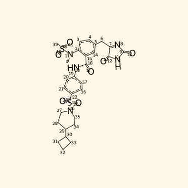 CN(c1ccc(CC2=NC(=O)NC2=O)cc1C(=O)Nc1ccc(S(=O)(=O)N2CCC(C3CCC3)CC2)cc1)S(C)(=O)=O